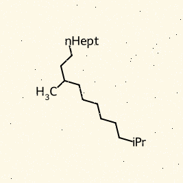 [CH2]CCCCCCCCC(C)CCCCCCC(C)C